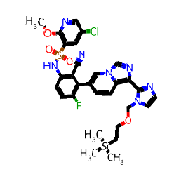 COc1ncc(Cl)cc1S(=O)(=O)Nc1ccc(F)c(-c2ccc3c(-c4nccn4COCC[Si](C)(C)C)ncn3c2)c1C#N